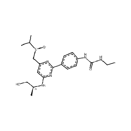 CCNC(=O)Nc1ccc(-c2nc(C[S+]([O-])C(C)C)cc(N[C@@H](C)CO)n2)cc1